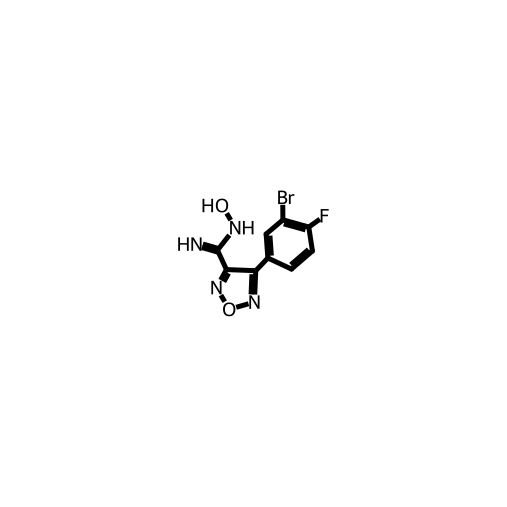 N=C(NO)c1nonc1-c1ccc(F)c(Br)c1